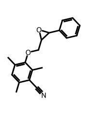 Cc1cc(C)c(OCC2OC2c2ccccc2)c(C)c1C#N